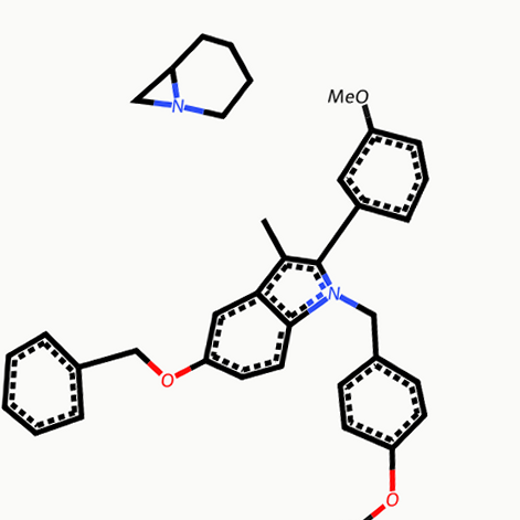 C1CCN2CC2C1.CCOc1ccc(Cn2c(-c3cccc(OC)c3)c(C)c3cc(OCc4ccccc4)ccc32)cc1